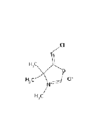 C[N+]1=CO/C(=C\Cl)C1(C)C.[Cl-]